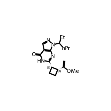 C=C(OC)[C@@H]1CC[C@@H]1c1nc2c(cnn2C(CC)CCC)c(=O)[nH]1